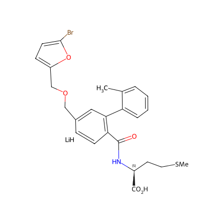 CSCC[C@H](NC(=O)c1ccc(COCc2ccc(Br)o2)cc1-c1ccccc1C)C(=O)O.[LiH]